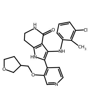 Cc1c(Cl)cccc1Nc1c(-c2ccncc2OCC2CCOC2)[nH]c2c1C(=O)NCC2